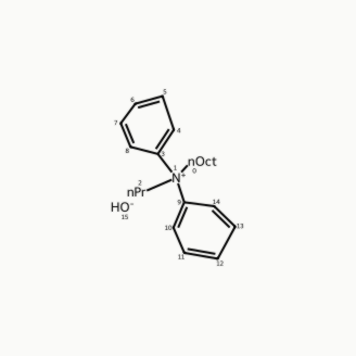 CCCCCCCC[N+](CCC)(c1ccccc1)c1ccccc1.[OH-]